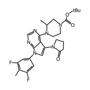 Cc1c(F)cc(-n2cc(N3CCCC3=O)c3c(N4CCN(C(=O)OC(C)(C)C)CC4C)ncnc32)cc1F